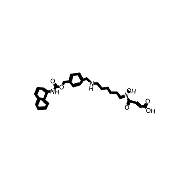 O=C(O)/C=C/C(=O)N(O)CCCCCCNCc1ccc(COC(=O)Nc2cccc3ccccc23)cc1